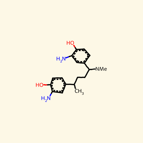 CNC(CCC(C)c1ccc(O)c(N)c1)c1ccc(O)c(N)c1